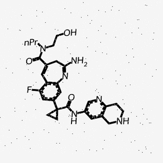 CCCN(CCO)C(=O)C1=Cc2c(F)cc(C3(C(=O)Nc4cnc5c(c4)CNCC5)CC3)cc2N=C(N)C1